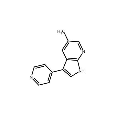 Cc1cnc2[nH]cc(-c3ccncc3)c2c1